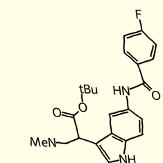 CNCC(C(=O)OC(C)(C)C)c1c[nH]c2ccc(NC(=O)c3ccc(F)cc3)cc12